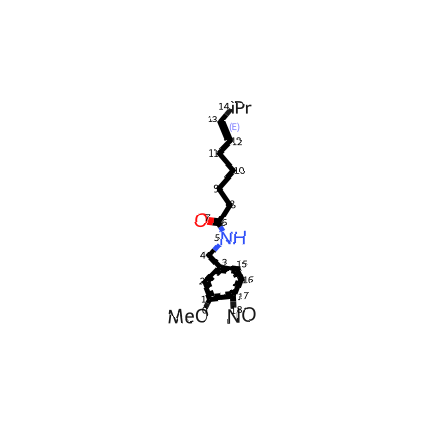 COc1cc(CNC(=O)CCCC/C=C/C(C)C)ccc1N=O